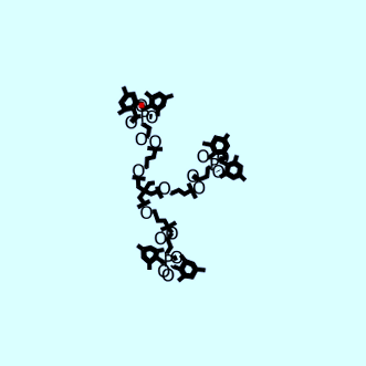 CCC(CC(C)(C)OCCCC(C)(C)OC(=O)CCP(=O)(C(=O)c1c(C)cc(C)cc1C)C(=O)c1c(C)cc(C)cc1C)(CC(C)(C)OCCCC(C)(C)OC(=O)CCP(=O)(C(=O)c1c(C)cc(C)cc1C)C(=O)c1c(C)cc(C)cc1C)CC(C)(C)OCCCC(C)(C)OC(=O)CCP(=O)(C(=O)c1c(C)cc(C)cc1C)C(=O)c1c(C)cc(C)cc1C